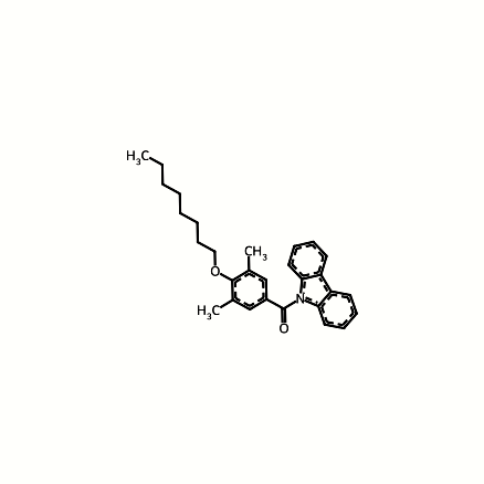 CCCCCCCCOc1c(C)cc(C(=O)n2c3ccccc3c3ccccc32)cc1C